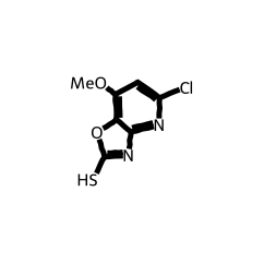 COc1cc(Cl)nc2nc(S)oc12